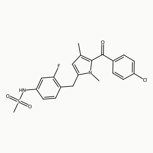 Cc1cc(Cc2ccc(NS(C)(=O)=O)cc2F)n(C)c1C(=O)c1ccc(Cl)cc1